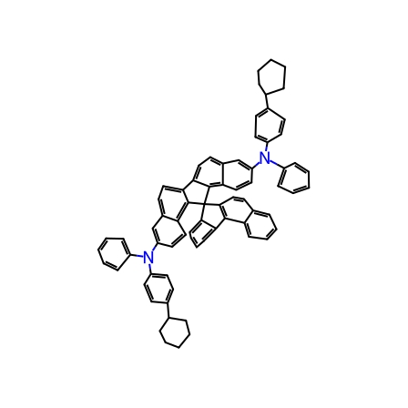 c1ccc(N(c2ccc(C3CCCCC3)cc2)c2ccc3c4c(ccc3c2)-c2ccc3cc(N(c5ccccc5)c5ccc(C6CCCCC6)cc5)ccc3c2C42c3ccccc3-c3c2ccc2ccccc32)cc1